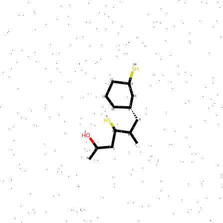 CC(O)CC(S)C(C)C[C@@H]1CCCC(S)C1